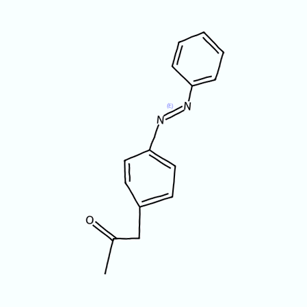 CC(=O)Cc1ccc(/N=N/c2ccccc2)cc1